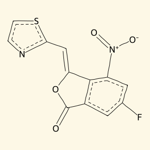 O=C1O/C(=C\c2nccs2)c2c1cc(F)cc2[N+](=O)[O-]